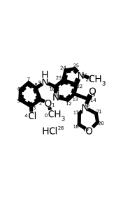 COc1c(Cl)cccc1Nc1ncc(C(=O)N2CCOCC2)c2c1ccn2C.Cl